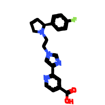 O=C(O)c1ccnc(-c2cn(CCN3CCC[C@H]3c3ccc(F)cc3)cn2)c1